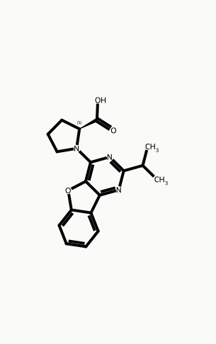 CC(C)c1nc(N2CCC[C@H]2C(=O)O)c2oc3ccccc3c2n1